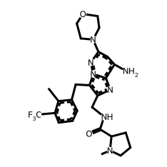 Cc1c(Cc2c(CNC(=O)C3CCCN3C)nc3c(N)cc(N4CCOCC4)nn23)cccc1C(F)(F)F